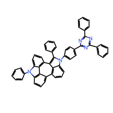 c1ccc(-c2nc(-c3ccccc3)nc(-c3ccc(-n4c(-c5ccccc5)c5c6c(cccc64)-c4cccc6c4c4c-5cccc4n6-c4ccccc4)cc3)n2)cc1